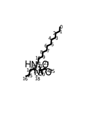 CCCCCCCCCCCCNC(CCC)N(C)C(C)(C)C(=O)OC